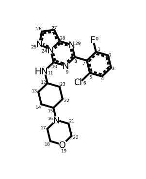 Fc1cccc(Cl)c1-c1nc(NC2CCC(N3CCOCC3)CC2)n2nccc2n1